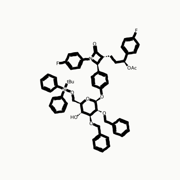 CC(=O)O[C@@H](CC[C@H]1C(=O)N(c2ccc(F)cc2)[C@@H]1c1ccc(O[C@@H]2O[C@H](CO[Si](c3ccccc3)(c3ccccc3)C(C)(C)C)[C@@H](O)[C@H](OCc3ccccc3)[C@H]2OCc2ccccc2)cc1)c1ccc(F)cc1